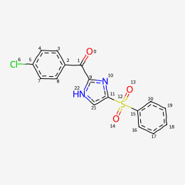 O=C(c1ccc(Cl)cc1)c1nc(S(=O)(=O)c2ccccc2)c[nH]1